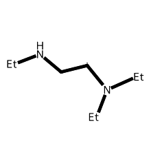 CCNC[CH]N(CC)CC